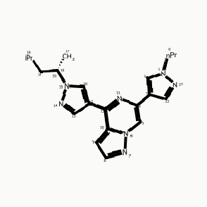 CCCn1cc(-c2cn3nccc3c(-c3cnn([C@@H](C)CC(C)C)c3)n2)cn1